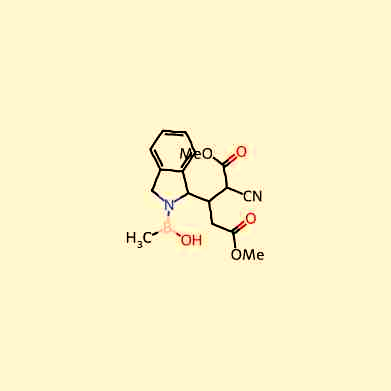 COC(=O)CC(C(C#N)C(=O)OC)C1c2ccccc2CN1B(C)O